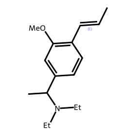 C/C=C/c1ccc(C(C)N(CC)CC)cc1OC